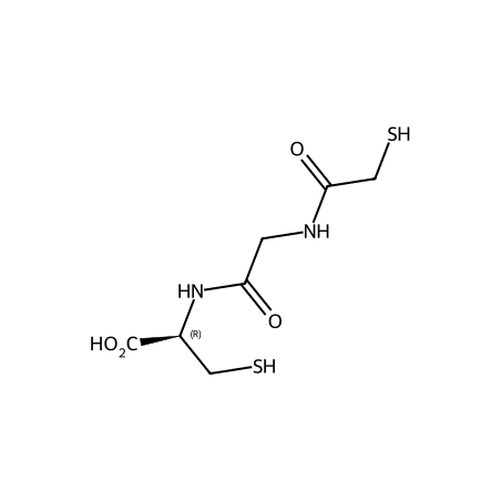 O=C(CS)NCC(=O)N[C@@H](CS)C(=O)O